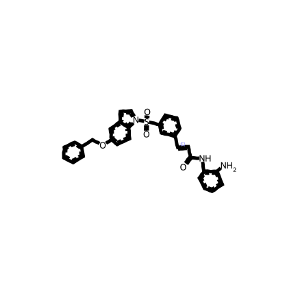 Nc1ccccc1NC(=O)/C=C/c1cccc(S(=O)(=O)n2ccc3cc(OCc4ccccc4)ccc32)c1